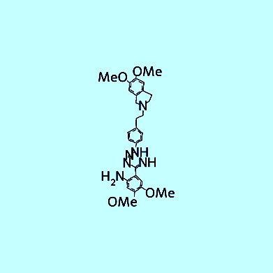 COc1cc(N)c(C(=N)/N=N\Nc2ccc(CCN3CCc4cc(OC)c(OC)cc4C3)cc2)cc1OC